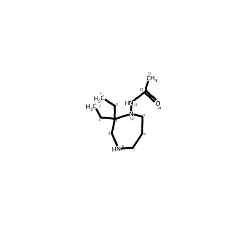 CCC1(CC)CNCCCN1NC(C)=O